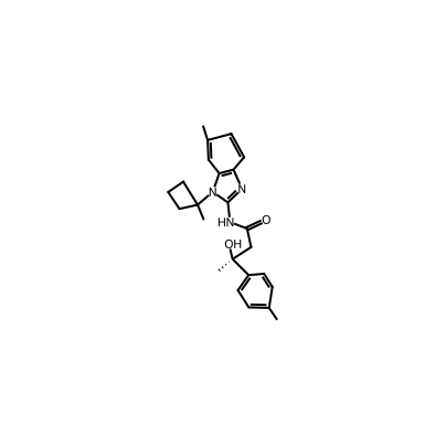 Cc1ccc([C@@](C)(O)CC(=O)Nc2nc3ccc(C)cc3n2C2(C)CCC2)cc1